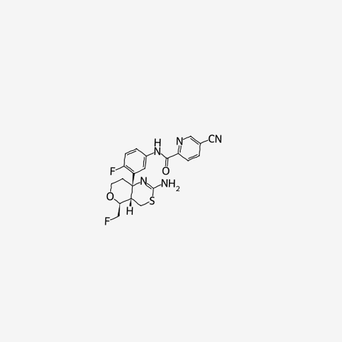 N#Cc1ccc(C(=O)Nc2ccc(F)c([C@]34CCO[C@H](CF)[C@H]3CSC(N)=N4)c2)nc1